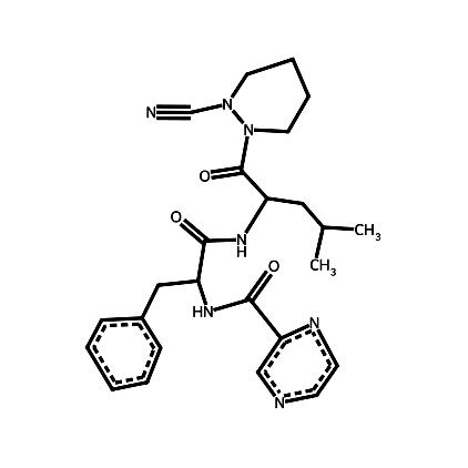 CC(C)CC(NC(=O)C(Cc1ccccc1)NC(=O)c1cnccn1)C(=O)N1CCCCN1C#N